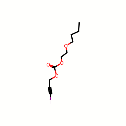 CCCCOCCOC(=O)OCC#CI